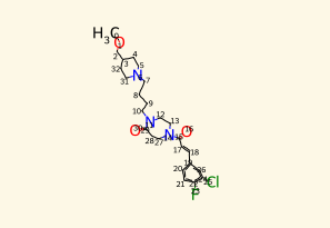 COCC1CCN(CCCCN2CCN(C(=O)C=Cc3ccc(F)c(Cl)c3)CCC2=O)CC1